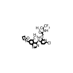 Cc1cc(N=S2(=O)CCC2)cc2ncnc(Nc3ccc(Cl)nc3OCC(=O)N[C@@H](C)C(F)(F)F)c12